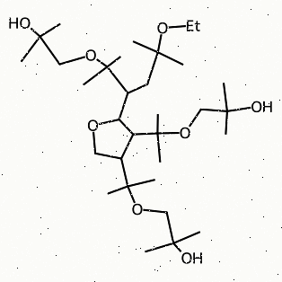 CCOC(C)(C)CC(C1OCC(C(C)(C)OCC(C)(C)O)C1C(C)(C)OCC(C)(C)O)C(C)(C)OCC(C)(C)O